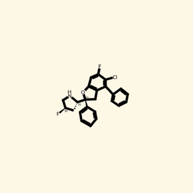 Fc1cc2c(c(-c3ccccc3)c1Cl)C[C@](c1ccccc1)([C@@H]1C[C@@H](F)CN1)O2